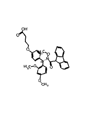 COc1ccc([C@H](c2ccc(OCCCC(=O)O)cc2)N(OC)C(=O)C2c3ccccc3-c3ccccc32)c(OC)c1